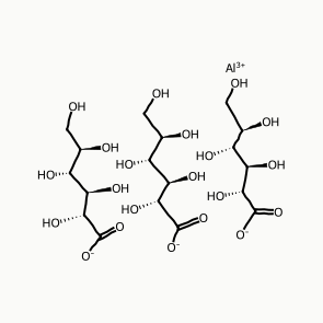 O=C([O-])[C@H](O)[C@H](O)[C@H](O)[C@H](O)CO.O=C([O-])[C@H](O)[C@H](O)[C@H](O)[C@H](O)CO.O=C([O-])[C@H](O)[C@H](O)[C@H](O)[C@H](O)CO.[Al+3]